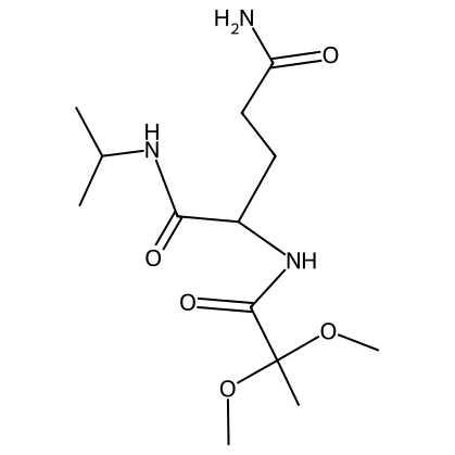 COC(C)(OC)C(=O)NC(CCC(N)=O)C(=O)NC(C)C